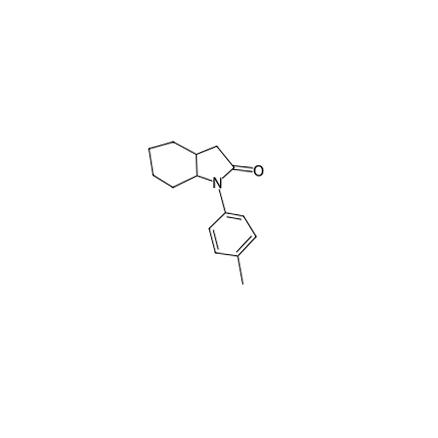 Cc1ccc(N2C(=O)CC3CCCCC32)cc1